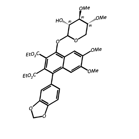 CCOC(=O)c1c(C(=O)OCC)c(-c2ccc3c(c2)OCO3)c2cc(OC)c(OC)cc2c1OC1OC[C@@H](OC)[C@H](OC)[C@H]1O